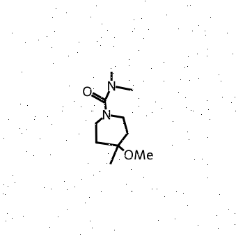 COC1(C)CCN(C(=O)N(C)C)CC1